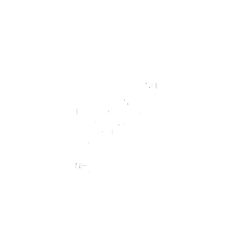 CC(C)(CCCN)OC(=O)N1CCNCC1